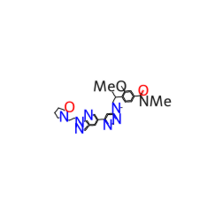 CNC(=O)c1ccc(C(C)CN(C)c2cc(-c3cnc4c(cnn4CCN4CCCC4=O)c3)ncn2)c(OC)c1